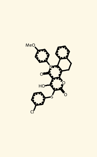 COc1ccc(-n2c3c(c4oc(=O)c(Sc5cccc(Cl)c5)c(O)c4c2=O)CCc2ccccc2-3)cc1